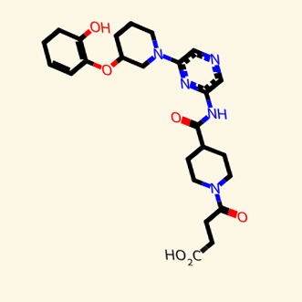 O=C(O)CCC(=O)N1CCC(C(=O)Nc2cncc(N3CCCC(OC4=C(O)CCC=C4)C3)n2)CC1